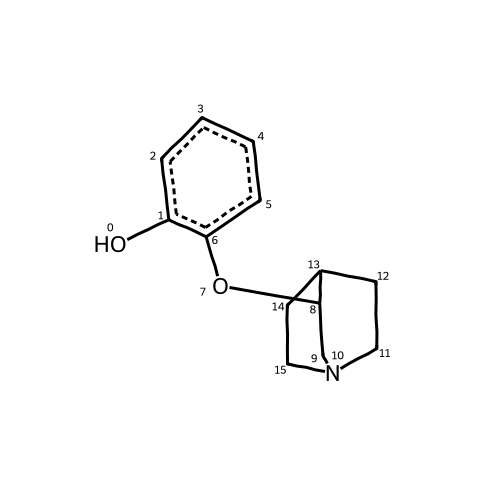 Oc1ccccc1OC1CN2CCC1CC2